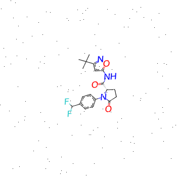 CC(C)(C)c1cc(NC(=O)[C@@H]2CCC(=O)N2c2ccc(C(F)F)cc2)on1